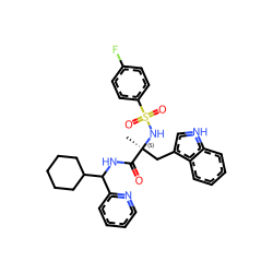 C[C@@](Cc1c[nH]c2ccccc12)(NS(=O)(=O)c1ccc(F)cc1)C(=O)NC(c1ccccn1)C1CCCCC1